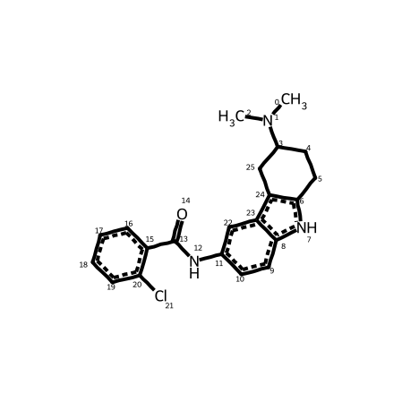 CN(C)C1CCc2[nH]c3ccc(NC(=O)c4ccccc4Cl)cc3c2C1